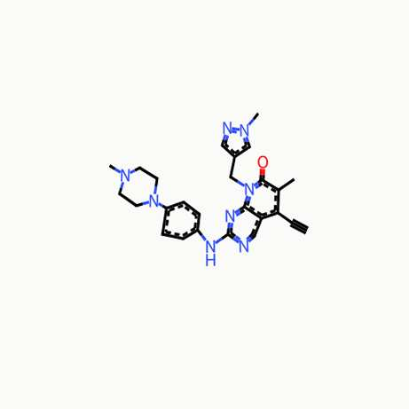 C#Cc1c(C)c(=O)n(Cc2cnn(C)c2)c2nc(Nc3ccc(N4CCN(C)CC4)cc3)ncc12